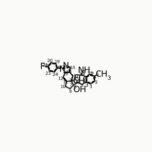 Cc1ccc(CC[C@]2(O)CCC3=Cc4c(cnn4-c4ccc(F)cc4)C[C@@]32C)c(C(N)=O)c1